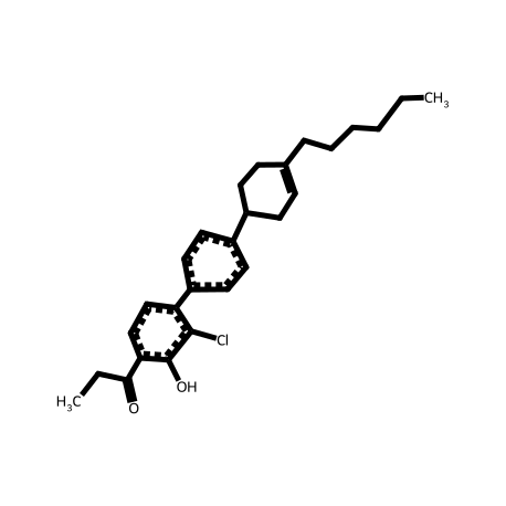 CCCCCCC1=CCC(c2ccc(-c3ccc(C(=O)CC)c(O)c3Cl)cc2)CC1